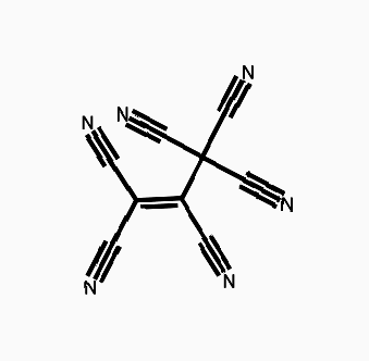 N#CC(C#N)=C(C#N)C(C#N)(C#N)C#N